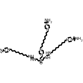 CN(C)N1CCN(CCCCCCCCCCNCCNCCP(=O)(CCNCCNCCCCCCCCCCN2CCN(C(C)(C)N)CC2)CCN2CCN(CCCCCCCCCCN3CCN(C(C)(C)N)CC3)CC2)CC1